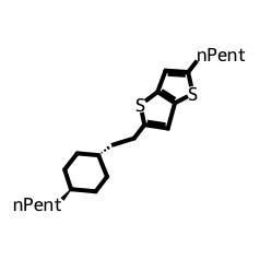 CCCCCc1cc2sc(CC[C@H]3CC[C@H](CCCCC)CC3)cc2s1